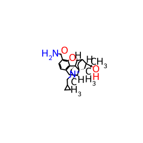 CC(C)(O)[C@H]1C[C@@]23CCC1[C@@H]1Oc4c(C(N)=O)ccc5c4[C@@]12CC[N@+](C)(CC1CC1)[C@@H]3C5